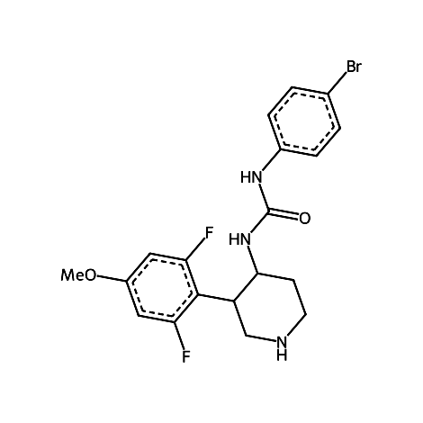 COc1cc(F)c(C2CNCCC2NC(=O)Nc2ccc(Br)cc2)c(F)c1